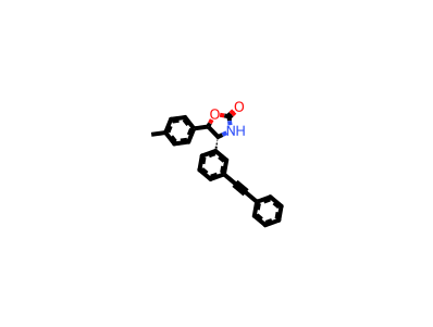 Cc1ccc(C2OC(=O)N[C@@H]2c2cccc(C#Cc3ccccc3)c2)cc1